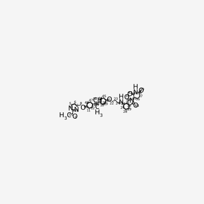 CC(=O)c1nccc(COc2ccc(C(C)(C)c3ccc(OCCCNc4cccc5c4C(=O)N(C4CCC(=O)NC4=O)C5=O)cc3)cc2)n1